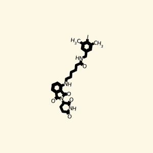 Cc1cc(CNC(=O)CCCCCNc2cccc3c2C(=O)N(C2CCC(=O)NC2=O)C3=O)cc(C)c1I